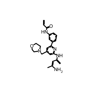 C=CC(=O)Nc1cccc(-c2cc(CN3CCOCC3)cc(NC(=C)/C=C(/C)N)n2)c1